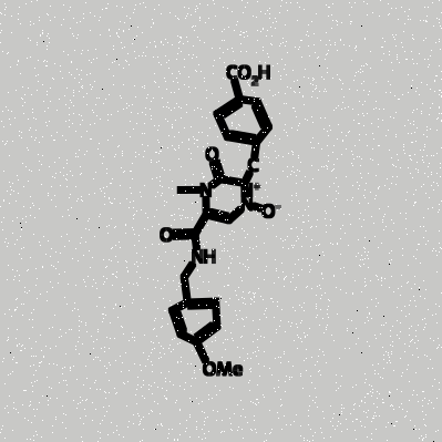 COc1ccc(CNC(=O)C2=C[NH+]([O-])C(Cc3ccc(C(=O)O)cc3)C(=O)N2C)cc1